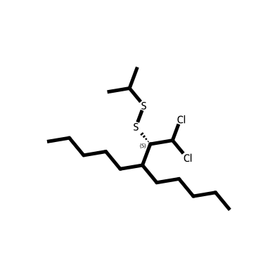 CCCCCC(CCCCC)[C@H](SSC(C)C)C(Cl)Cl